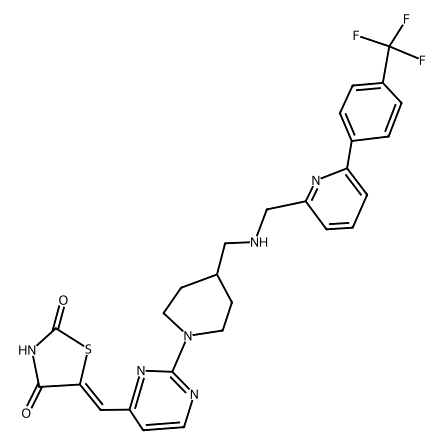 O=C1NC(=O)C(=Cc2ccnc(N3CCC(CNCc4cccc(-c5ccc(C(F)(F)F)cc5)n4)CC3)n2)S1